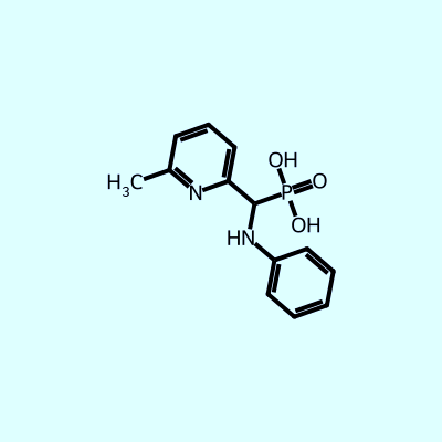 Cc1cccc(C(Nc2ccccc2)P(=O)(O)O)n1